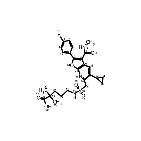 CNC(=O)c1c(-c2ccc(F)cc2)oc2nc(CS(=O)(=O)NCCCC(C)(C)C(=O)O)c(C3CC3)cc12